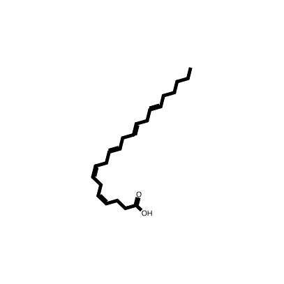 CCCCC/C=C/C/C=C/C/C=C/C/C=C\C/C=C\CCC(=O)O